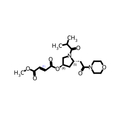 COC(=O)/C=C/C(=O)O[C@@H]1C[C@@H](CC(=O)N2CCOCC2)N(C(=O)C(C)C)C1